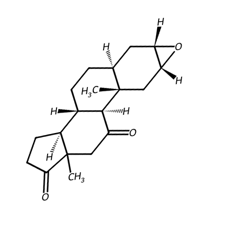 CC12CC(=O)[C@H]3[C@@H](CC[C@H]4C[C@@H]5O[C@@H]5C[C@@]43C)[C@@H]1CCC2=O